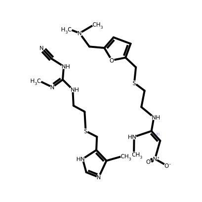 CN/C(=C\[N+](=O)[O-])NCCSCc1ccc(CN(C)C)o1.CN=C(NC#N)NCCSCc1[nH]cnc1C